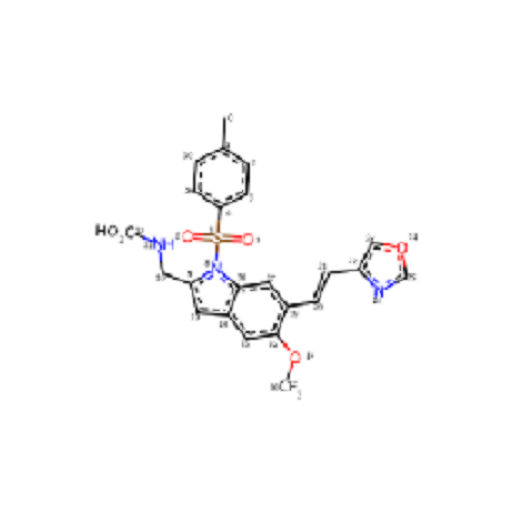 Cc1ccc(S(=O)(=O)n2c(CNC(=O)O)cc3cc(OC(F)(F)F)c(C=Cc4cocn4)cc32)cc1